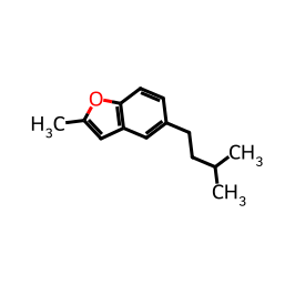 Cc1cc2cc(CCC(C)C)ccc2o1